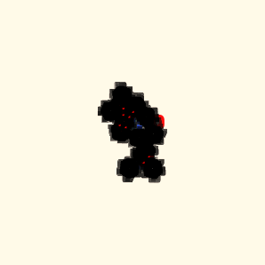 c1ccc(-c2ccc(N(c3cccc4c3-c3ccccc3C43c4ccccc4-c4ccccc43)c3c(-c4ccccc4)ccc4oc5ccc(-c6ccc7c(c6)c6ccccc6n7-c6ccccc6)cc5c34)c(-c3ccccc3)c2)cc1